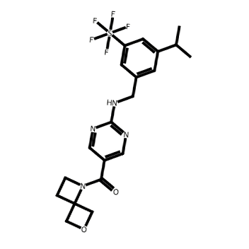 CC(C)c1cc(CNc2ncc(C(=O)N3CCC34COC4)cn2)cc(S(F)(F)(F)(F)F)c1